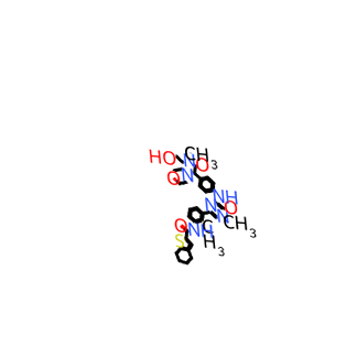 Cc1c(NC(=O)c2cc3c(s2)CCCC3)cccc1-c1cn(C)c(=O)c(Nc2ccc(C(C(=O)N(C)CCO)N3CCOCC3)cc2)n1